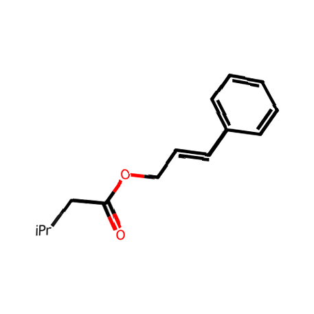 CC(C)CC(=O)OCC=Cc1ccccc1